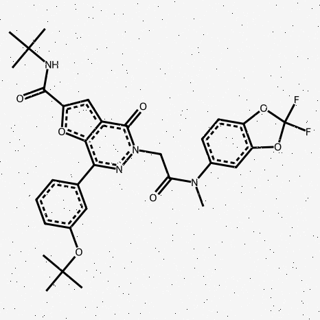 CN(C(=O)Cn1nc(-c2cccc(OC(C)(C)C)c2)c2oc(C(=O)NC(C)(C)C)cc2c1=O)c1ccc2c(c1)OC(F)(F)O2